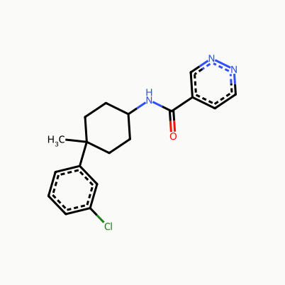 CC1(c2cccc(Cl)c2)CCC(NC(=O)c2ccnnc2)CC1